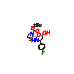 CC(C)(C)OC(=O)N1CCS[C@H]1C(=O)N[C@@H](CCO)c1ccc(F)cc1